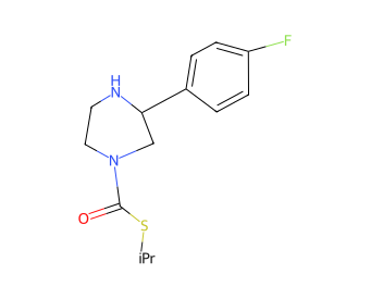 CC(C)SC(=O)N1CCNC(c2ccc(F)cc2)C1